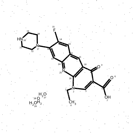 CCn1cc(C(=O)O)c(=O)c2cc3cc(F)c(N4CCNCC4)cc3nc21.O.O.O